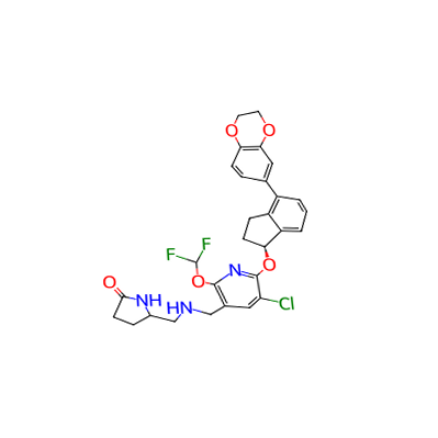 O=C1CCC(CNCc2cc(Cl)c(O[C@H]3CCc4c(-c5ccc6c(c5)OCCO6)cccc43)nc2OC(F)F)N1